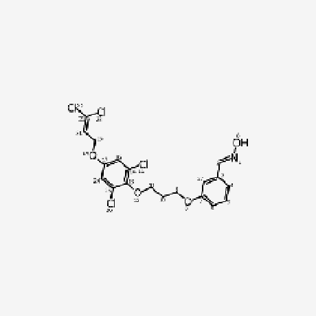 ON=Cc1cccc(OCCCOc2c(Cl)cc(OCC=C(Cl)Cl)cc2Cl)c1